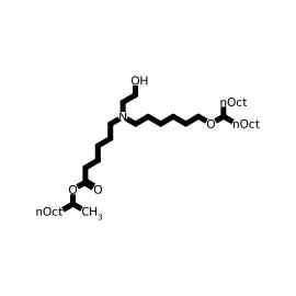 CCCCCCCCC(C)OC(=O)CCCCCN(CCO)CCCCCCOC(CCCCCCCC)CCCCCCCC